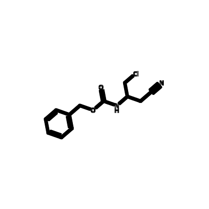 N#CCC(CCl)NC(=O)OCc1ccccc1